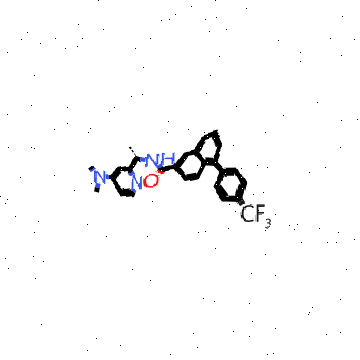 C[C@H](NC(=O)c1ccc2c(-c3ccc(C(F)(F)F)cc3)cccc2c1)c1cc(N(C)C)ccn1